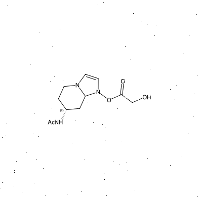 CC(=O)N[C@@H]1CCN2C=CN(OC(=O)CO)C2C1